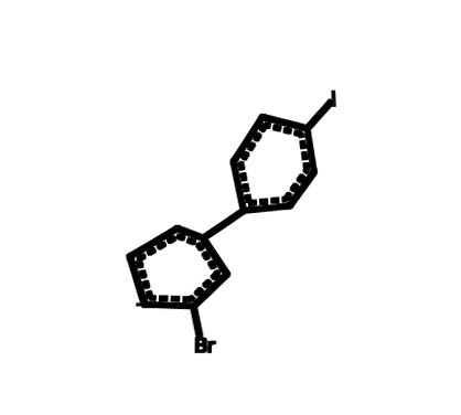 Brc1[c]ccc(-c2ccc(I)cc2)c1